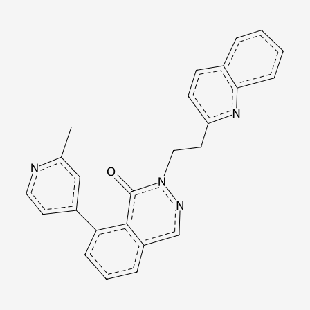 Cc1cc(-c2cccc3cnn(CCc4ccc5ccccc5n4)c(=O)c23)ccn1